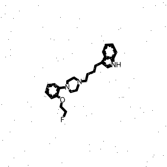 FCCOc1ccccc1N1CCN(CCCCc2c[nH]c3ccccc23)CC1